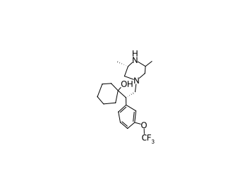 CC1CN(C[C@H](c2cccc(OC(F)(F)F)c2)C2(O)CCCCC2)C[C@H](C)N1